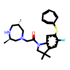 C[C@H]1CN[C@H](C)CN(CC(=O)N2CC(C)(C)c3cc(F)c(SC4=C=CC=CC=C4)cc32)C1